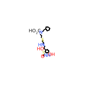 O=C(O)N(CCCSCCNC[C@@H](O)c1ccc(O)c2[nH]c(=O)sc12)CCc1ccccc1